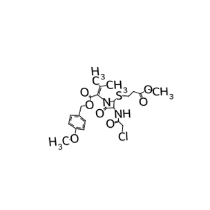 COC(=O)CCSC1C(NC(=O)CCl)C(=O)N1C(C(=O)OCc1ccc(OC)cc1)=C(C)C